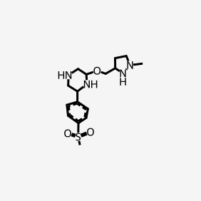 CN1CCC(COC2CNCC(c3ccc(S(C)(=O)=O)cc3)N2)N1